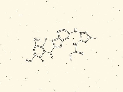 C=CC(=O)Nc1cn(C)nc1Nc1ccc2sc(C(=O)c3c(F)c(OC)cc(OC)c3F)cc2n1